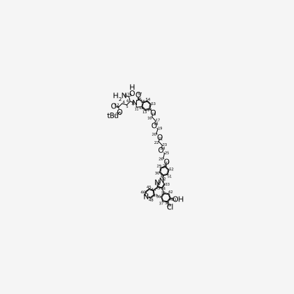 CC(C)(C)OC(=O)CCC(C(N)O)N1Cc2cc(OCCOCCOCCOCCOc3ccc(-n4cc(-c5ccc(Cl)c(O)c5)c(-c5ccncc5)n4)cc3)ccc2C1=O